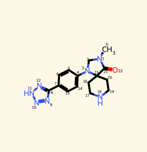 CN1CN(c2ccc(-c3nn[nH]n3)cc2)C2(CCNCC2)C1=O